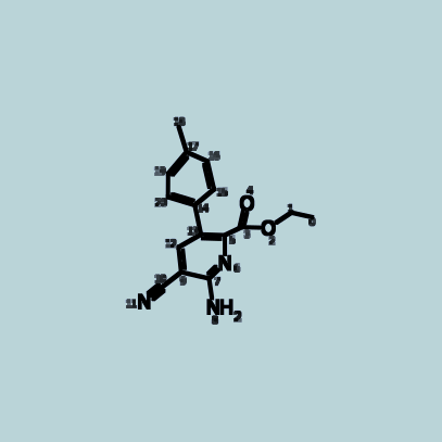 CCOC(=O)c1nc(N)c(C#N)cc1-c1ccc(C)cc1